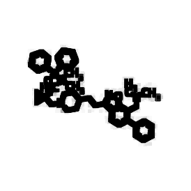 CN(C)Cc1c(-c2ccccc2)ccc2c(CCC3CCN(CC4(CO[Si](c5ccccc5)(c5ccccc5)C(C)(C)C)CC4)CC3)noc12